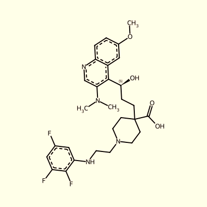 COc1ccc2ncc(N(C)C)c([C@@H](O)CCC3(C(=O)O)CCN(CCNc4cc(F)cc(F)c4F)CC3)c2c1